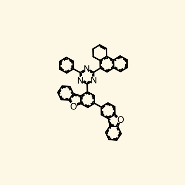 C1=Cc2c(c(-c3nc(-c4ccccc4)nc(-c4cc(-c5ccc6oc7ccccc7c6c5)cc5oc6ccccc6c45)n3)cc3ccccc23)CC1